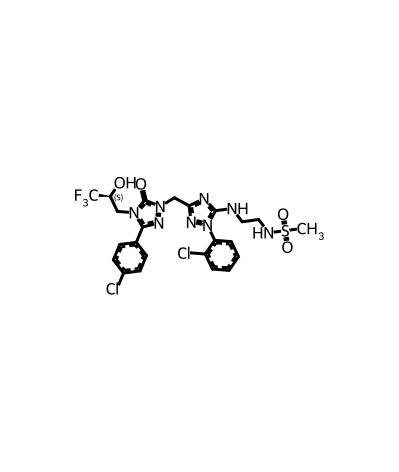 CS(=O)(=O)NCCNc1nc(Cn2nc(-c3ccc(Cl)cc3)n(C[C@H](O)C(F)(F)F)c2=O)nn1-c1ccccc1Cl